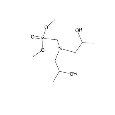 COP(=O)(CN(CC(C)O)CC(C)O)OC